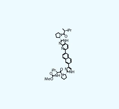 COC(=O)N[C@H](C(=O)N1CCC[C@H]1c1nc(-c2ccc3cc(-c4ccc5[nH]c([C@@H]6CCCN6C(=O)[C@@H](C)C(C)C)nc5n4)ccc3c2)c[nH]1)C(C)C